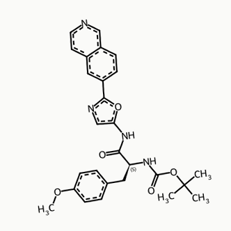 COc1ccc(C[C@H](NC(=O)OC(C)(C)C)C(=O)Nc2cnc(-c3ccc4cnccc4c3)o2)cc1